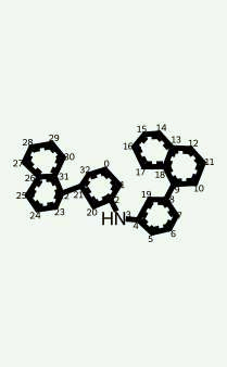 c1cc(Nc2cccc(-c3cccc4ccccc34)c2)cc(-c2cccc3ccccc23)c1